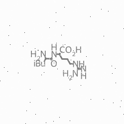 CCC(C)C(N)C(=O)NC(CCCNC(=N)N)C(=O)O